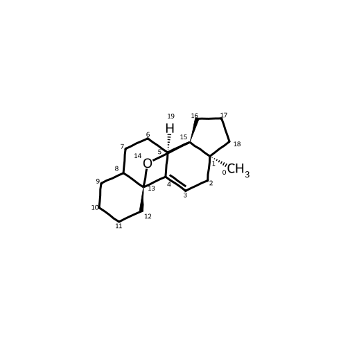 C[C@]12CC=C3[C@H]4CCC5CCCC[C@@]35O[C@]41CCC2